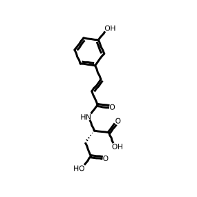 O=C(O)C[C@H](NC(=O)/C=C/c1cccc(O)c1)C(=O)O